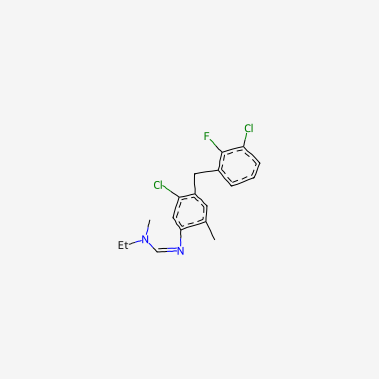 CCN(C)/C=N\c1cc(Cl)c(Cc2cccc(Cl)c2F)cc1C